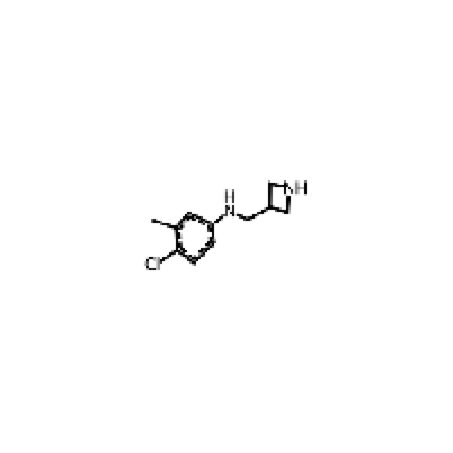 Cc1cc(NCC2CNC2)ccc1Cl